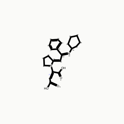 O=C(O)/C=C(\C(=O)O)N1CCCC1=CC(=NC1CCCCC1)c1ccccc1